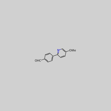 COc1ccc(-c2ccc(C=O)cc2)nc1